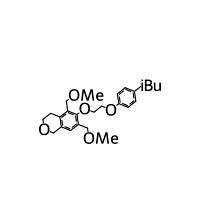 CCC(C)c1ccc(OCCOc2c(COC)cc3c(c2COC)CCOC3)cc1